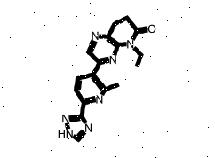 CCN1C(=O)CCc2ncc(-c3ccc(-c4nc[nH]n4)nc3C)nc21